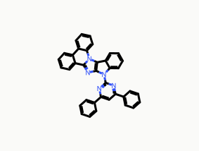 c1ccc(-c2cc(-c3ccccc3)nc(-n3c4ccccc4c4c3nc3c5ccccc5c5ccccc5n34)n2)cc1